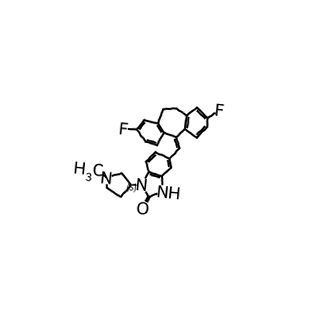 CN1CC[C@H](n2c(=O)[nH]c3cc(C=C4c5ccc(F)cc5CCc5cc(F)ccc54)ccc32)C1